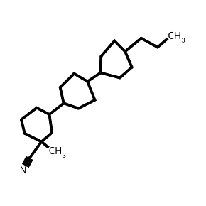 CCCC1CCC(C2CCC(C3CCCC(C)(C#N)C3)CC2)CC1